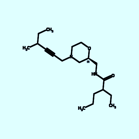 CCCC(CC)C(=O)NC[C@H]1CN(CC#CC(C)CC)CCO1